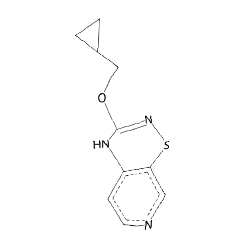 c1cc2c(cn1)SN=C(OCC1CC1)N2